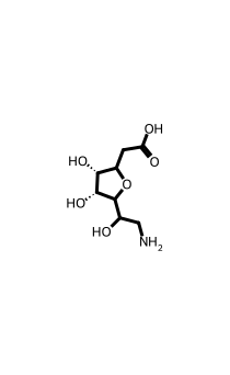 NCC(O)C1OC(CC(=O)O)[C@@H](O)[C@H]1O